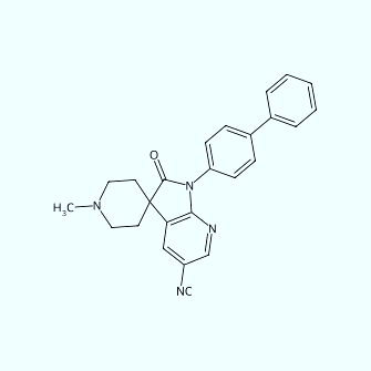 [C-]#[N+]c1cnc2c(c1)C1(CCN(C)CC1)C(=O)N2c1ccc(-c2ccccc2)cc1